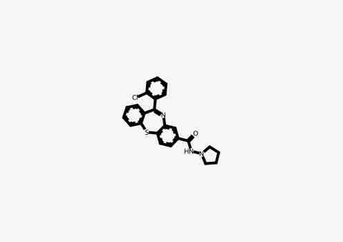 O=C(NN1CCCC1)c1ccc2c(c1)N=C(c1ccccc1Cl)c1ccccc1S2